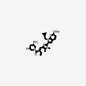 C=C/C(=C\c1nc(-c2cc3ccc(OC)nc3n2CC2CC2)n(C)c1C)C(=O)N1C[C@@H](N)C[C@H](F)C1